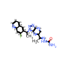 CC(=NNC(N)=O)c1cnc2nnn(C(C)c3cc4cccnc4cc3F)c2n1